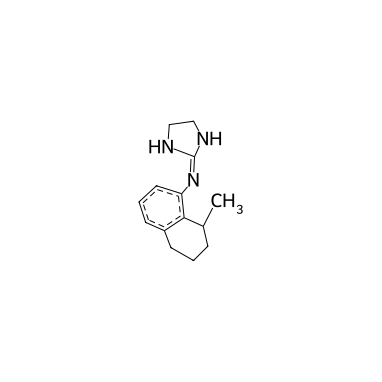 CC1CCCc2cccc(N=C3NCCN3)c21